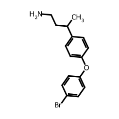 CC(CCN)c1ccc(Oc2ccc(Br)cc2)cc1